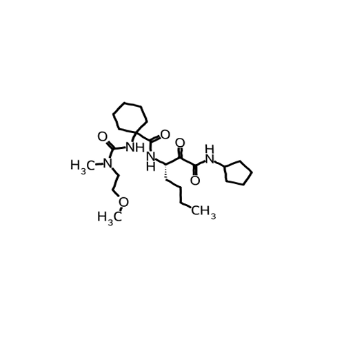 CCCC[C@H](NC(=O)C1(NC(=O)N(C)CCOC)CCCCC1)C(=O)C(=O)NC1CCCC1